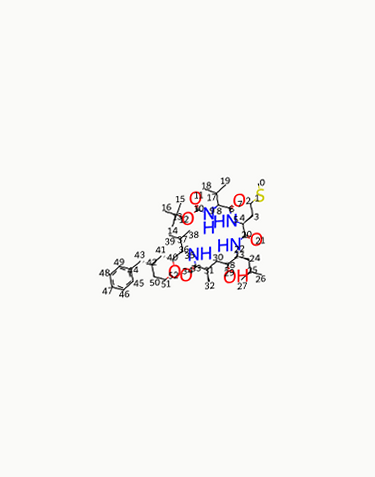 CSCC[C@H](NC(=O)[C@@H](NC(=O)OC(C)(C)C)C(C)C)C(=O)N[C@@H](CC(C)C)[C@@H](O)C[C@@H](C)C(=O)N[C@@H](C(C)C)[C@H]1C[C@@H](Cc2ccccc2)CCO1